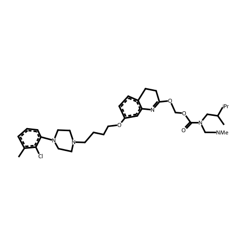 CNCN(CC(C)C(C)C)C(=O)OCOC1=Nc2cc(OCCCCN3CCN(c4cccc(C)c4Cl)CC3)ccc2CC1